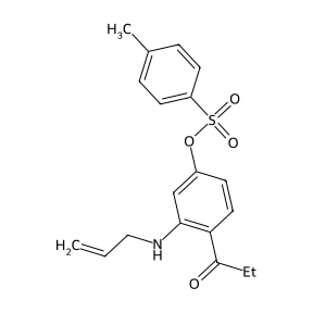 C=CCNc1cc(OS(=O)(=O)c2ccc(C)cc2)ccc1C(=O)CC